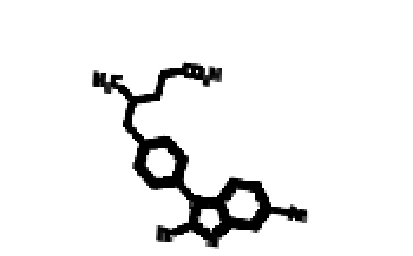 CCc1nc2cc(C(C)=O)ccc2n1-c1ccc(C[C@@H](C)CCC(=O)O)cc1